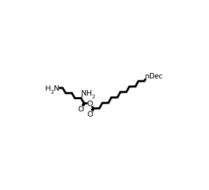 CCCCCCCCCCCCCCCCCCCCCC(=O)OC(=O)[C@@H](N)CCCCN